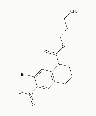 CCCCOC(=O)N1CCCc2cc([N+](=O)[O-])c(Br)cc21